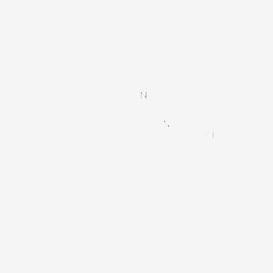 CC1=Nc2c(ccc3c(-c4ccccc4)cc(C(=O)O)nc23)C(c2ccccc2)C1